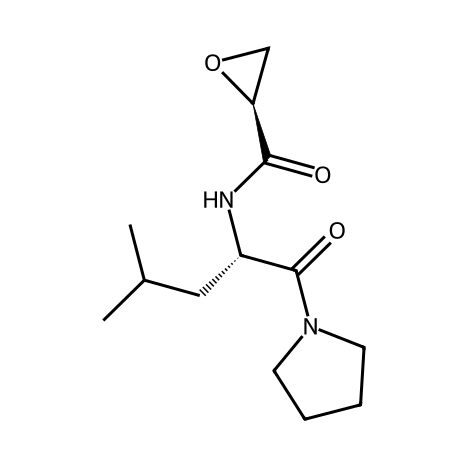 CC(C)C[C@H](NC(=O)[C@@H]1CO1)C(=O)N1CCCC1